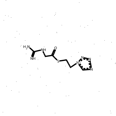 N=C(N)NCC(=O)SCCn1cnnn1